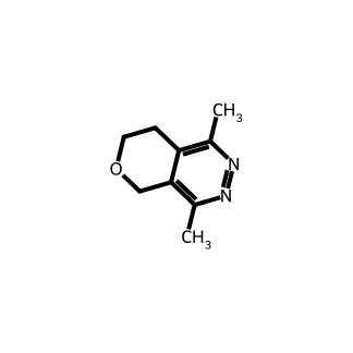 Cc1nnc(C)c2c1CCOC2